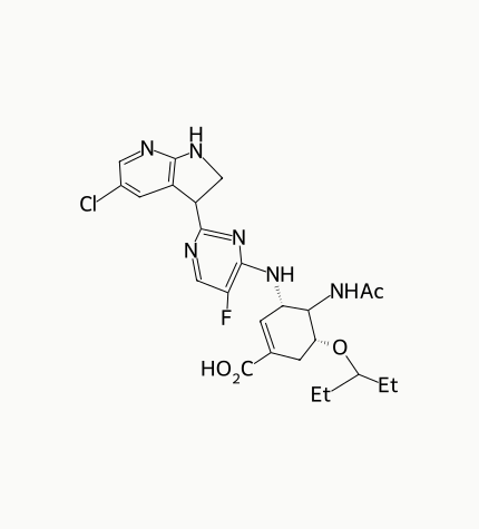 CCC(CC)O[C@@H]1CC(C(=O)O)=C[C@H](Nc2nc(C3CNc4ncc(Cl)cc43)ncc2F)C1NC(C)=O